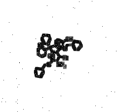 CCC(C(N)C(=O)OCc1ccccc1)C(NC(c1ccccc1)(c1ccc(C)cc1)c1ccccc1Cl)C(=O)OCc1ccccc1